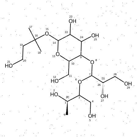 C[C@@H](O)C(CO)OC(OC1C(CO)OC(OC(C)(C)CCO)C(O)C1O)[C@@H](O)CO